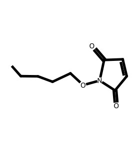 CCCCCON1C(=O)C=CC1=O